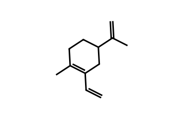 C=CC1=C(C)CCC(C(=C)C)C1